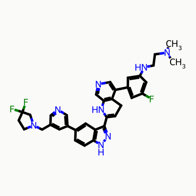 CN(C)CCNc1cc(F)cc(-c2cncc3c2CC=C(c2n[nH]c4ccc(-c5cncc(CN6CCC(F)(F)C6)c5)cc24)N3)c1